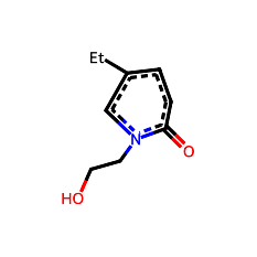 CCc1ccc(=O)n(CCO)c1